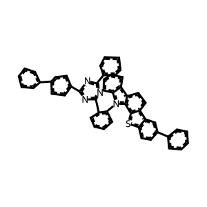 c1ccc(-c2ccc(-c3nc(-c4ccccc4)nc(-c4ccccc4-n4c5ccccc5c5ccc6c7cc(-c8ccccc8)ccc7sc6c54)n3)cc2)cc1